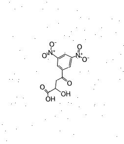 O=C(CC(O)C(=O)O)c1cc([N+](=O)[O-])cc([N+](=O)[O-])c1